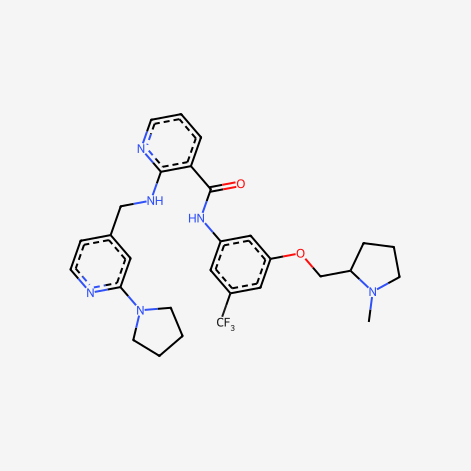 CN1CCCC1COc1cc(NC(=O)c2cccnc2NCc2ccnc(N3CCCC3)c2)cc(C(F)(F)F)c1